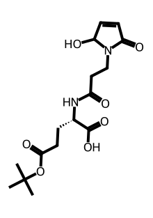 CC(C)(C)OC(=O)CC[C@H](NC(=O)CCN1C(=O)C=CC1O)C(=O)O